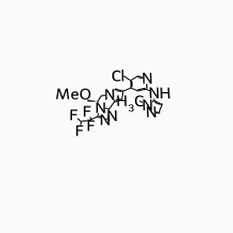 COC[C@H]1Cn2cc(-c3cc(Nc4ccnn4C)ncc3Cl)cc2-c2nnc(C(F)(F)C(F)F)n21